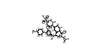 CN(c1nc(-c2ccc(F)cc2)c(C#N)s1)c1cn(C2CC2)c(=O)c2ccc(C3CCN(S(C)(=O)=O)CC3)cc12